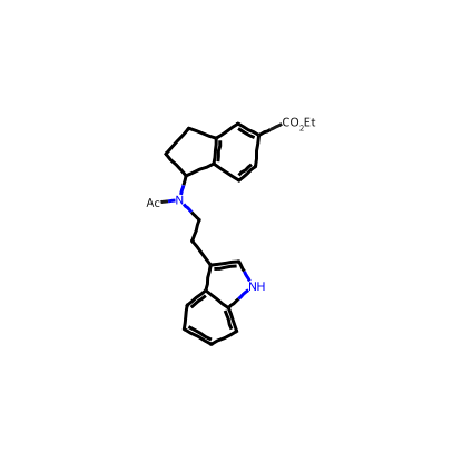 CCOC(=O)c1ccc2c(c1)CCC2N(CCc1c[nH]c2ccccc12)C(C)=O